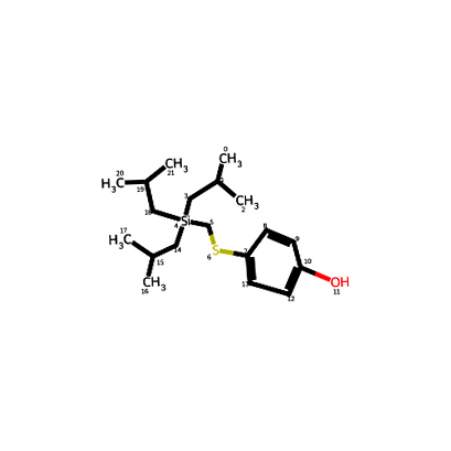 CC(C)C[Si](CSc1ccc(O)cc1)(CC(C)C)CC(C)C